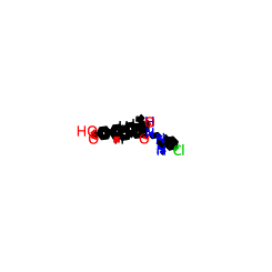 CC(C)C1=C2[C@H]3CC[C@@H]4C5(C)CC=C(C6=CC[C@@H](C(=O)O)CC6)C(C)(C)[C@H]5CC[C@@]4(C)[C@]3(C)CC[C@@]2(C(=O)NCCN(CCN(C)C)Cc2ccc(Cl)cc2)CC1=O